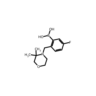 CC1(C)COCCN1Cc1ccc(F)cc1B(O)O